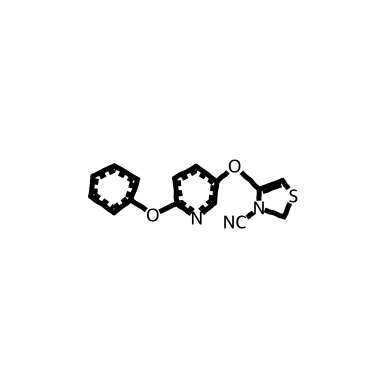 N#CN1CSC=C1Oc1ccc(Oc2ccccc2)nc1